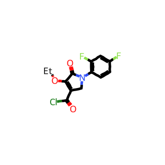 CCOC1=C(C(=O)Cl)CN(c2ccc(F)cc2F)C1=O